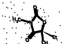 CC[C@@]1(C)OC(=O)N(C)C1=O